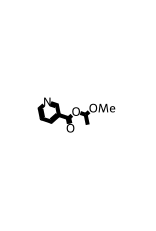 COC(C)OC(=O)c1cccnc1